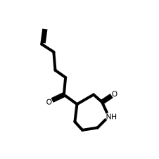 C=CCCCC(=O)C1CCCNC(=O)C1